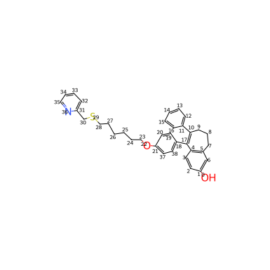 Oc1ccc2c(c1)CCCC(c1ccccc1)=C2c1ccc(OCCCCCCSCc2ccccn2)cc1